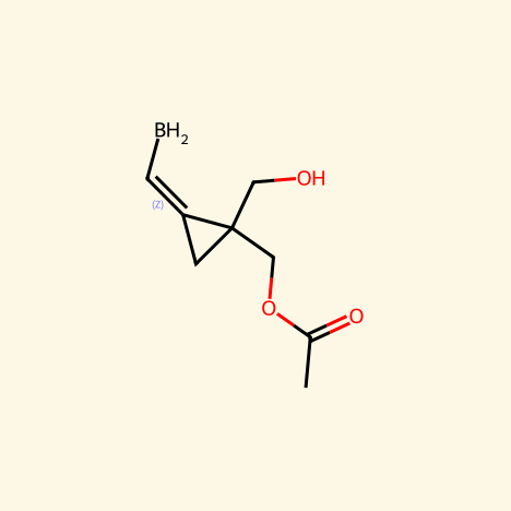 B/C=C1/CC1(CO)COC(C)=O